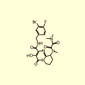 CN(C)C(=O)C(=O)N(C)C1CCCn2c1nc(C(=O)NCc1ccc(F)c(Br)c1)c(O)c2=O